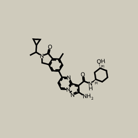 Cc1cc(-c2ccn3nc(N)c(C(=O)N[C@@H]4CCC[C@@H](O)C4)c3n2)cc2c1C(=O)N(C(C)C1CC1)C2